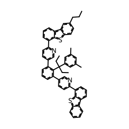 CCCc1ccc2sc3c(-c4ccc(-c5cccc(-c6ccc(-c7cccc8c7sc7ccccc78)nc6)c5C(CC)(CC)c5cc(C)cc(C)c5)cn4)cccc3c2c1